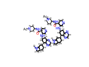 CC(=O)N1CCC(NC(=O)c2ccncc2Nc2cc(-c3ccc4ccn(C)c4c3)c3nccnc3c2)CC1.CC(=O)N1CCCC(NC(=O)c2ccncc2Nc2cc(-c3ccc4ccn(C)c4c3)c3nccnc3c2)C1